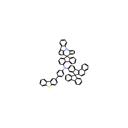 c1ccc2c(c1)-c1ccccc1C21c2cc(N(c3ccc(-c4ccc5sc6ccccc6c5c4)cc3)c3cccc4c3-c3ccccc3C43c4ccccc4-n4c5ccccc5c5cccc3c54)ccc2-c2c1ccc1ccccc21